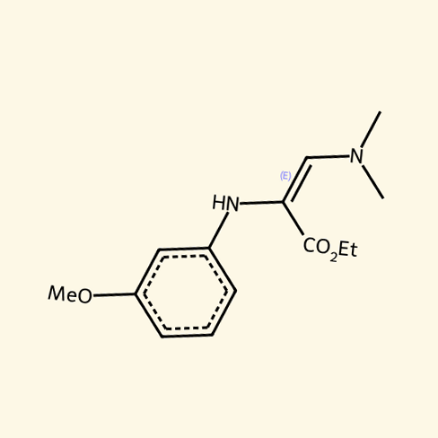 CCOC(=O)/C(=C\N(C)C)Nc1cccc(OC)c1